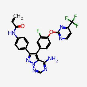 C=CC(=O)Nc1ccc(-c2nn3ncnc(N)c3c2-c2ccc(Oc3nccc(C(F)(F)F)n3)c(F)c2)cc1